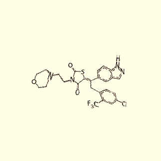 O=C1S/C(=C(/Cc2ccc(Cl)cc2C(F)(F)F)c2ccc3[nH]ncc3c2)C(=O)N1CCN1CCOCC1